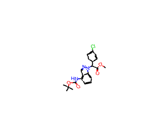 COC(=O)C(C1C=CC(Cl)=CC1)n1ncc2c(NC(=O)OC(C)(C)C)cccc21